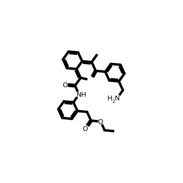 C=C(/C(C)=c1/cccc/c1=C(/C)C(=O)Nc1ccccc1CC(=O)OCC)c1cccc(CN)c1